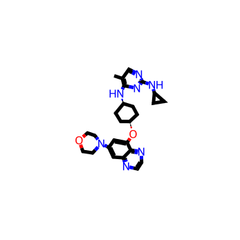 Cc1cnc(NC2CC2)nc1N[C@H]1CC[C@@H](Oc2cc(N3CCOCC3)cc3nccnc23)CC1